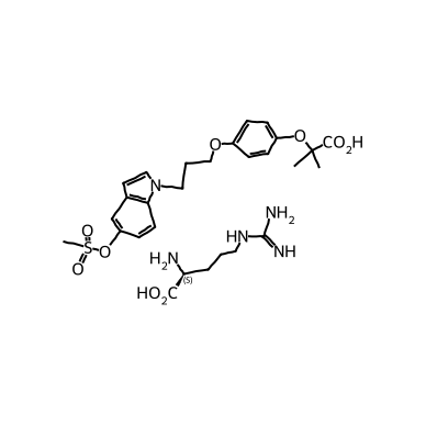 CC(C)(Oc1ccc(OCCCn2ccc3cc(OS(C)(=O)=O)ccc32)cc1)C(=O)O.N=C(N)NCCC[C@H](N)C(=O)O